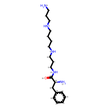 NCCCNCCCCNCCCNC(=O)[C@@H](N)Cc1ccccc1